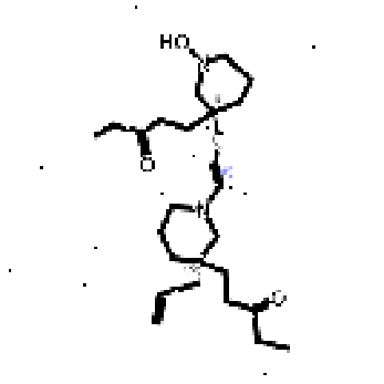 C=CC[C@]1(CCC(=O)CC)CCCN(/C=C/C[C@]2(CCC(=O)CC)CCCN(O)C2)C1